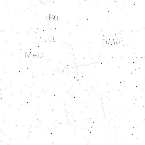 COCC(COC)(COC(C)(C)C)C1CCCCC1